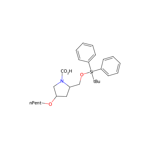 CCCCCOC1CC(CO[Si](c2ccccc2)(c2ccccc2)C(C)(C)C)N(C(=O)O)C1